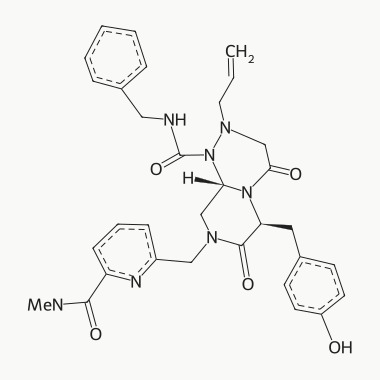 C=CCN1CC(=O)N2[C@@H](Cc3ccc(O)cc3)C(=O)N(Cc3cccc(C(=O)NC)n3)C[C@@H]2N1C(=O)NCc1ccccc1